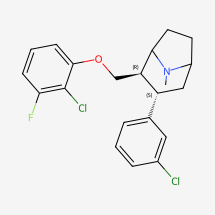 CN1C2CCC1[C@H](COc1cccc(F)c1Cl)[C@@H](c1cccc(Cl)c1)C2